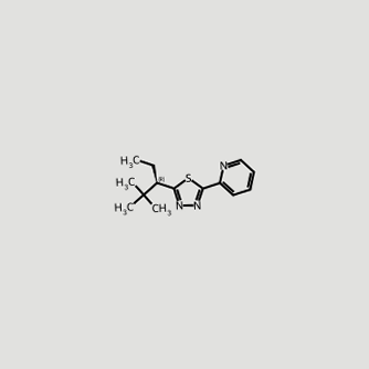 CC[C@@H](c1nnc(-c2ccccn2)s1)C(C)(C)C